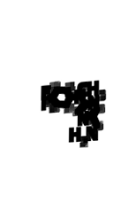 CN(c1cnc(CN)cn1)C1CCC(F)(F)CC1